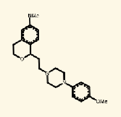 CNc1ccc2c(c1)CCOC2CCN1CCN(c2ccc(OC)cc2)CC1